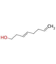 C=CCCC=CCCO